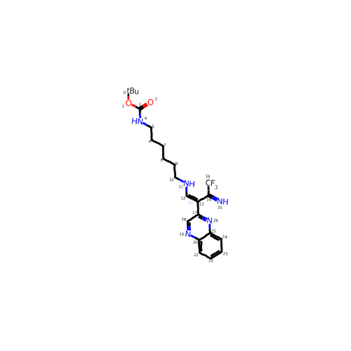 CC(C)(C)OC(=O)NCCCCCCN/C=C(\C(=N)C(F)(F)F)c1cnc2ccccc2n1